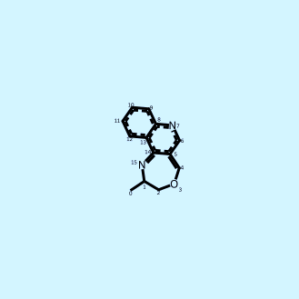 CC1COC=c2cnc3ccccc3c2=N1